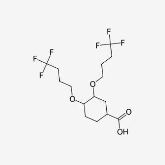 O=C(O)C1CCC(OCCCC(F)(F)F)C(OCCCC(F)(F)F)C1